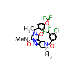 CNC(=O)[C@@H]1CN([C@@H](C)c2ccc(OC(F)F)cc2)C(=O)c2c3c(nn21)C[C@@H](C)N(C(=O)c1ccc(Cl)c(C(F)F)c1)C3